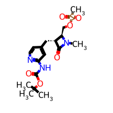 CN1C(=O)[C@H](Cc2ccnc(NC(=O)OC(C)(C)C)c2)[C@H]1COS(C)(=O)=O